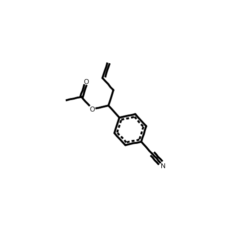 C=CCC(OC(C)=O)c1ccc(C#N)cc1